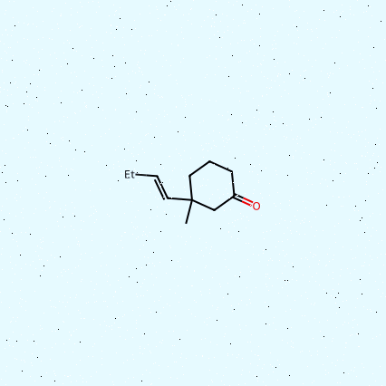 CCC=CC1(C)CCCC(=O)C1